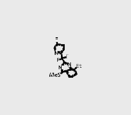 CCc1cccc2c(SC)nc(C(F)(F)c3ccc(F)cn3)nc12